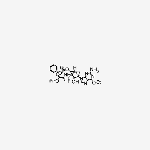 CCOc1nc(N)nc2c1ncn2[C@@H]1O[C@@H]2C(O[P@](=O)(N[C@@H](C)C(=O)OC(C)C)Oc3ccccc3)[C@]2(CF)[C@H]1O